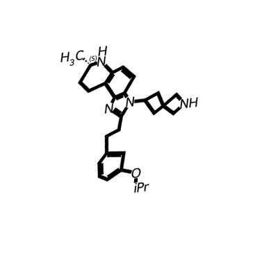 CC(C)Oc1cccc(CCc2nc3c4c(ccc3n2C2CC3(CNC3)C2)N[C@@H](C)CC4)c1